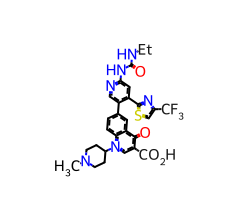 CCNC(=O)Nc1cc(-c2nc(C(F)(F)F)cs2)c(-c2ccc3c(c2)c(=O)c(C(=O)O)cn3C2CCN(C)CC2)cn1